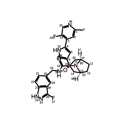 Cc1cc(-c2cc(C(=O)N3[C@@H]4CC[C@H]3CC(C(=O)NCc3ccc5[nH]nc(F)c5c3)C4)n[nH]2)c(F)cn1